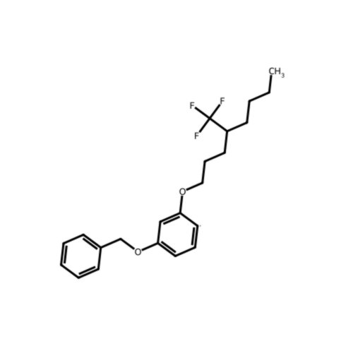 CCCCC(CCCOc1[c]ccc(OCc2ccccc2)c1)C(F)(F)F